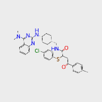 Cc1ccc(C(=O)CC(Sc2ccc(Cl)cc2)C(=O)NC[C@H]2CC[C@@H](Nc3nc(N(C)C)c4ccccc4n3)CC2)cc1